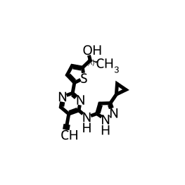 C#Cc1cnc(-c2ccc([C@@H](C)O)s2)nc1Nc1cc(C2CC2)n[nH]1